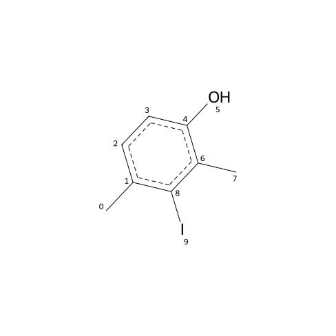 Cc1ccc(O)c(C)c1I